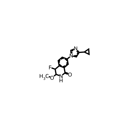 COC1NC(=O)c2cc(-n3cnc(C4CC4)c3)ccc2C1F